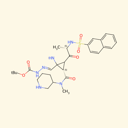 C[C@H](NS(=O)(=O)c1ccc2ccccc2c1)C(=O)C1[C@H](C(=O)N(C)C2CCCNC2)C1([NH])C=NNC(=O)OC(C)(C)C